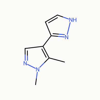 Cc1c(-c2cc[nH]n2)cnn1C